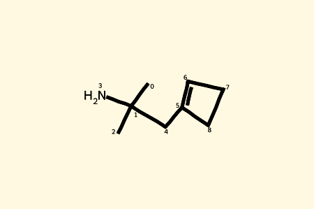 CC(C)(N)CC1=CCC1